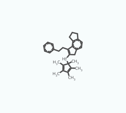 CC1=C(C)[C](C)([Hf][C]2=C(CCc3ccccc3)c3c(ccc4c3CCC4)C2)C(C)=C1C